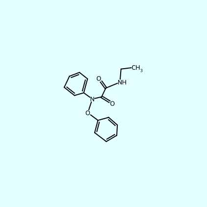 CCNC(=O)C(=O)N(Oc1ccccc1)c1ccccc1